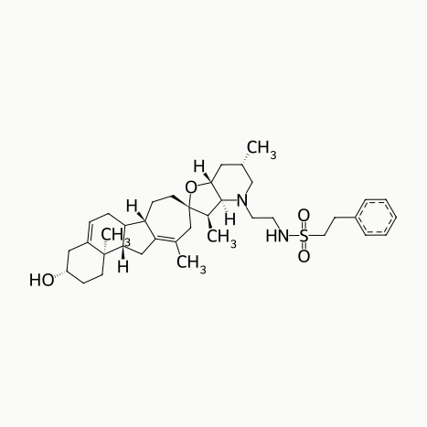 CC1=C2C[C@H]3C(CC=C4C[C@@H](O)CC[C@@]43C)[C@@H]2CC[C@@]2(C1)O[C@@H]1C[C@H](C)CN(CCNS(=O)(=O)CCc3ccccc3)[C@H]1[C@H]2C